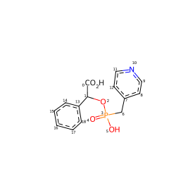 O=C(O)C(OP(=O)(O)Cc1ccncc1)c1ccccc1